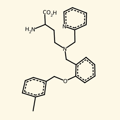 Cc1cccc(COc2ccccc2CN(CCC(N)C(=O)O)Cc2ccccn2)c1